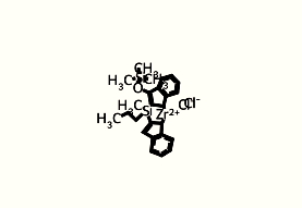 CCC[Si]1(C)C2=Cc3ccccc3[CH]2[Zr+2][CH]2C1=C(O[Si](C)(C)C)c1ccccc12.[Cl-].[Cl-]